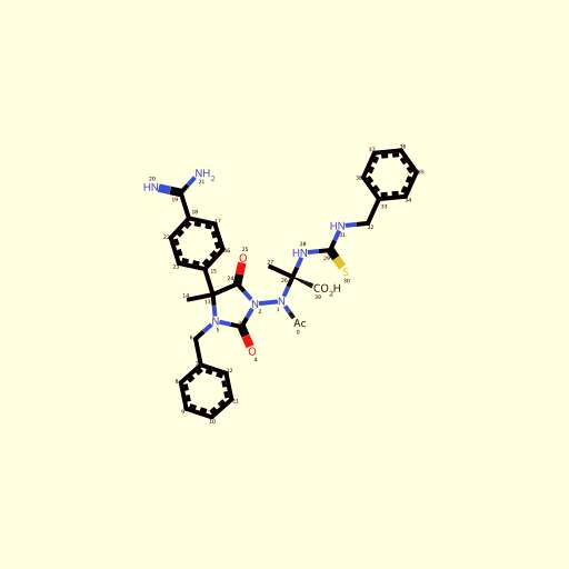 CC(=O)N(N1C(=O)N(Cc2ccccc2)C(C)(c2ccc(C(=N)N)cc2)C1=O)[C@](C)(NC(=S)NCc1ccccc1)C(=O)O